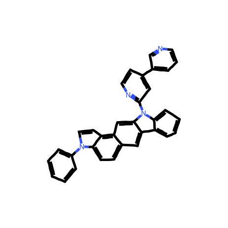 c1ccc(-n2ccc3c4cc5c(cc4ccc32)c2ccccc2n5-c2cc(-c3cccnc3)ccn2)cc1